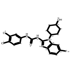 O=C(Nc1ccc(Cl)c(Cl)c1)Nc1nc2ccc(F)cc2n1C1CCC(O)CC1